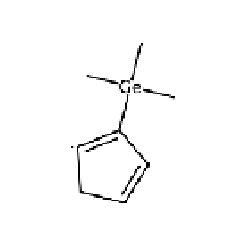 [CH3][Ge]([CH3])([CH3])[C]1=[C]CC=C1